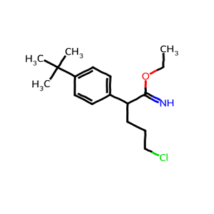 CCOC(=N)C(CCCCl)c1ccc(C(C)(C)C)cc1